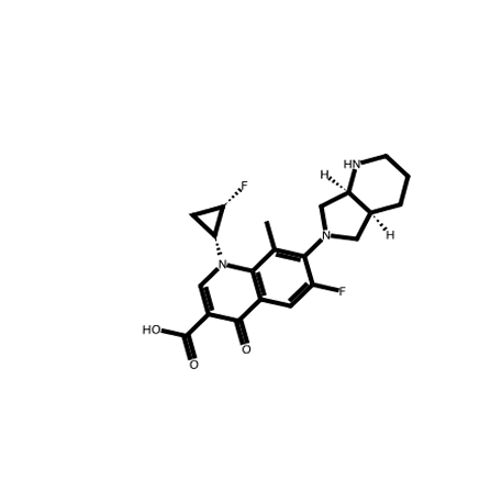 Cc1c(N2C[C@@H]3CCCN[C@@H]3C2)c(F)cc2c(=O)c(C(=O)O)cn([C@@H]3C[C@@H]3F)c12